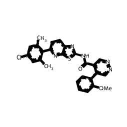 COc1ccccc1-c1cnncc1C(=O)Nc1nc2ccc(-c3c(C)cc(Cl)cc3C)nc2s1